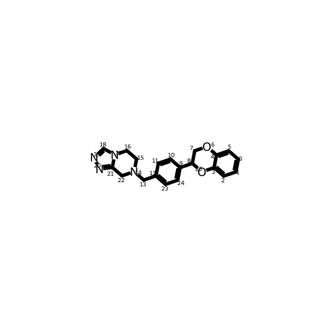 c1ccc2c(c1)OCC(c1ccc(CN3CCn4cnnc4C3)cc1)O2